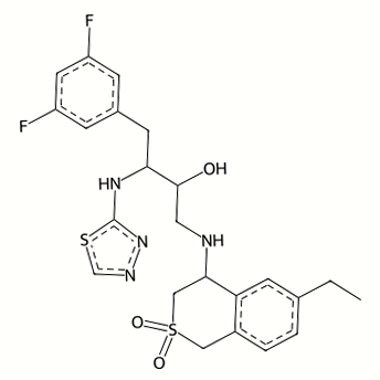 CCc1ccc2c(c1)C(NCC(O)C(Cc1cc(F)cc(F)c1)Nc1nncs1)CS(=O)(=O)C2